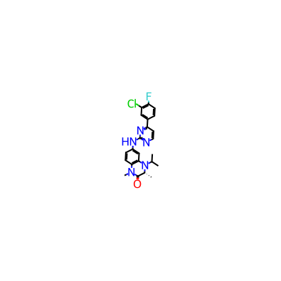 CC(C)N1c2cc(Nc3nccc(-c4ccc(F)c(Cl)c4)n3)ccc2N(C)C(=O)[C@H]1C